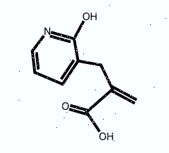 C=C(Cc1cccnc1O)C(=O)O